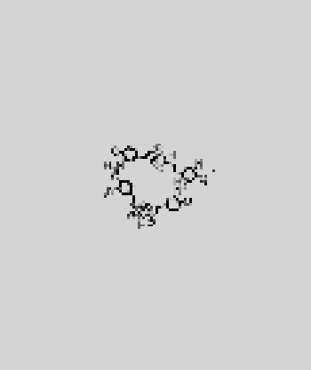 COc1ccc(C=CC(=O)NS(=O)(=O)C=Cc2ccc(OC)c(N)c2)cc1N.COc1ccc(C=CS(=O)(=O)NS(=O)(=O)C=Cc2ccc(OC)c(N)c2)cc1N